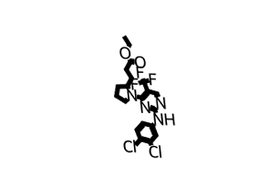 CCOC(=O)CCC1CCCN1c1nc(Nc2ccc(Cl)c(Cl)c2)ncc1C(F)(F)F